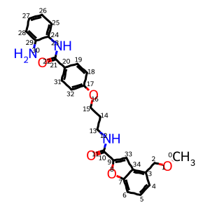 COCc1cccc2oc(C(=O)NCCCOc3ccc(C(=O)Nc4ccccc4N)cc3)cc12